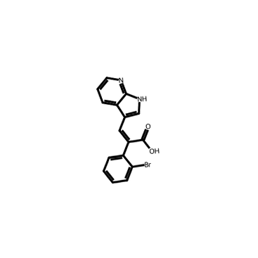 O=C(O)/C(=C\c1c[nH]c2ncccc12)c1ccccc1Br